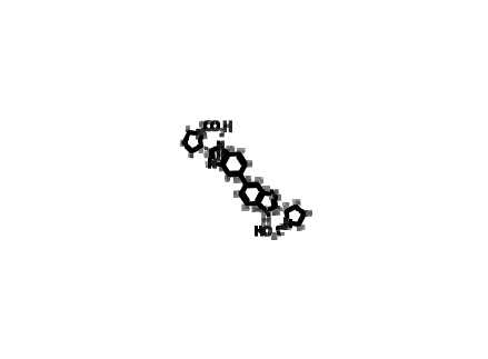 O=C(O)N1CCC[C@H]1c1nc2cc(-c3ccc4[nH]c([C@@H]5CCCN5C(=O)O)nc4c3)ccc2[nH]1